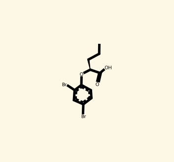 CCC[C@H](Oc1ccc(Br)cc1Br)C(=O)O